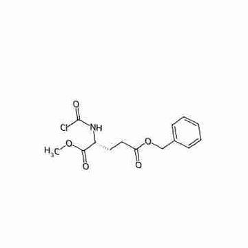 COC(=O)[C@@H](CCC(=O)OCc1ccccc1)NC(=O)Cl